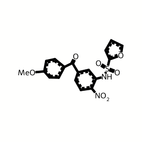 COc1ccc(C(=O)c2ccc([N+](=O)[O-])c(NS(=O)(=O)c3ccco3)c2)cc1